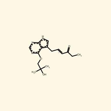 CCC(=O)/C=C/Cc1c[nH]c2ncnc(OCC(C)(C)O)c12